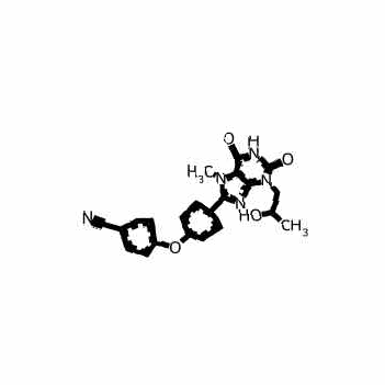 CC(O)Cn1c(=O)[nH]c(=O)c2c1nc(-c1ccc(Oc3ccc(C#N)cc3)cc1)n2C